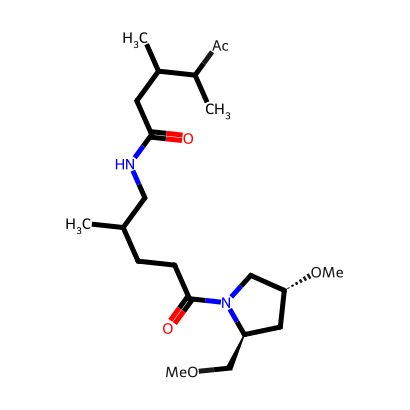 COC[C@@H]1C[C@@H](OC)CN1C(=O)CCC(C)CNC(=O)CC(C)C(C)C(C)=O